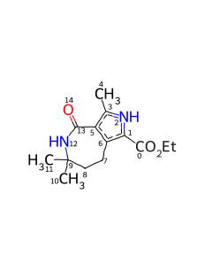 CCOC(=O)c1[nH]c(C)c2c1CCC(C)(C)NC2=O